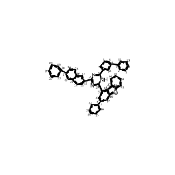 c1ccc(-c2cccc(C3=NC(c4ccc5cc(-c6ccccc6)ccc5c4)=NC(c4cc(-c5ccccc5)cc5oc6ccccc6c45)N3)c2)cc1